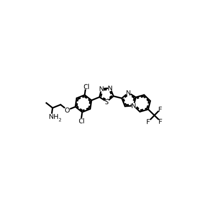 CC(N)COc1cc(Cl)c(-c2nnc(-c3cn4cc(C(F)(F)F)ccc4n3)s2)cc1Cl